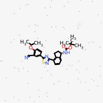 CC(C)Oc1ccc(-c2nc(-c3cccc4c3CC[C@@H]4NC(=O)OC(C)(C)C)ns2)cc1C#N